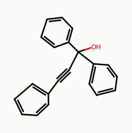 OC(C#Cc1ccccc1)(c1ccccc1)c1ccccc1